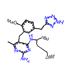 CCCCC(CCOC)Nc1nc(N)nc(C)c1Cc1cc(Cc2nn[nH]n2)ccc1OC